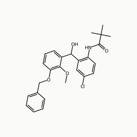 COc1c(OCc2ccccc2)cccc1C(O)c1cc(Cl)ccc1NC(=O)C(C)(C)C